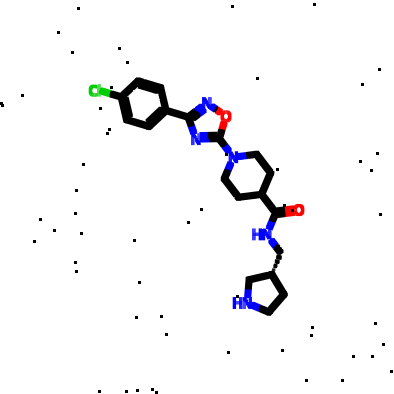 O=C(NC[C@@H]1CCNC1)C1CCN(c2nc(-c3ccc(Cl)cc3)no2)CC1